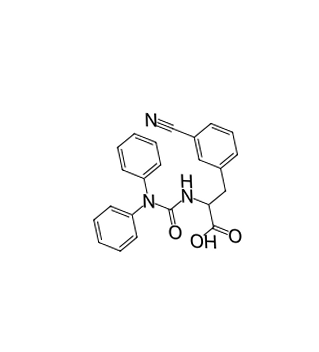 N#Cc1cccc(CC(NC(=O)N(c2ccccc2)c2ccccc2)C(=O)O)c1